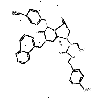 C#Cc1ccc(C[C@H]2C(=O)N(Cc3cccc4ccccc34)C[C@H]3N2C(=O)CN3N(CC#N)C(=O)NCc2ccc(OC)cc2)cc1